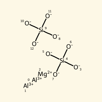 [Al+3].[Al+3].[Mg+2].[O-][Si]([O-])([O-])[O-].[O-][Si]([O-])([O-])[O-]